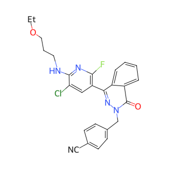 CCOCCCNc1nc(F)c(-c2nn(Cc3ccc(C#N)cc3)c(=O)c3ccccc23)cc1Cl